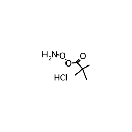 CC(C)(C)C(=O)OON.Cl